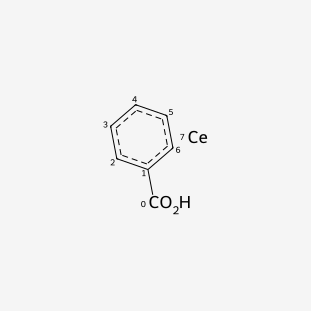 O=C(O)c1ccccc1.[Ce]